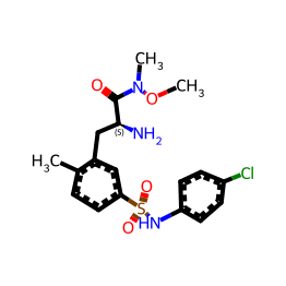 CON(C)C(=O)[C@@H](N)Cc1cc(S(=O)(=O)Nc2ccc(Cl)cc2)ccc1C